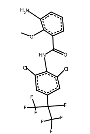 COc1c(N)cccc1C(=O)Nc1c(Cl)cc(C(F)(C(F)(F)F)C(F)(F)F)cc1Cl